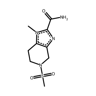 Cn1c(C(N)=O)nc2c1CCN(S(C)(=O)=O)C2